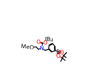 COCCN(Cc1cccc(B2OC(C)(C)C(C)(C)O2)c1)C(=O)OC(C)(C)C